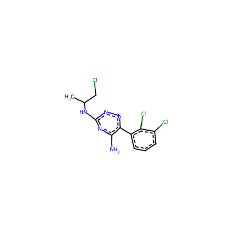 CC(CCl)Nc1nnc(-c2cccc(Cl)c2Cl)c(N)n1